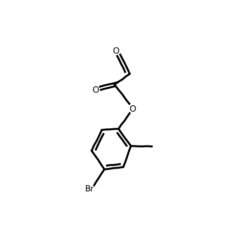 Cc1cc(Br)ccc1OC(=O)C=O